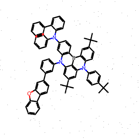 CC(C)(C)c1ccc(N2c3ccc(C(C)(C)C)cc3B3c4ccc(N(c5ccccc5)c5ccccc5-c5ccccc5)cc4N(c4cccc(-c5ccc6c(c5)oc5ccccc56)c4)c4cc(C(C)(C)C)cc2c43)cc1